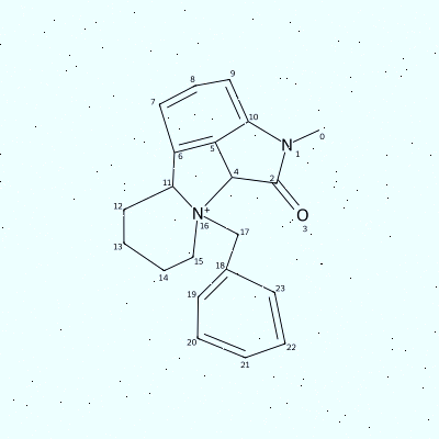 CN1C(=O)C2c3c(cccc31)C1CCCC[N+]12Cc1ccccc1